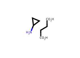 NC1CC1.O=C(O)CCC(=O)O